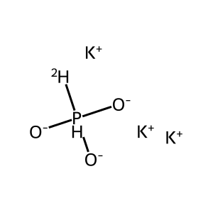 [2H][PH]([O-])([O-])[O-].[K+].[K+].[K+]